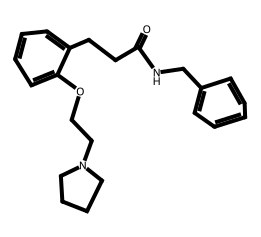 O=C(CCc1ccccc1OCCN1CCCC1)NCc1ccccc1